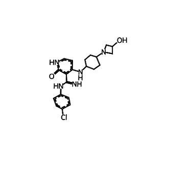 N=C(Nc1ccc(Cl)cc1)c1c(NC2CCC(N3CC(O)C3)CC2)cc[nH]c1=O